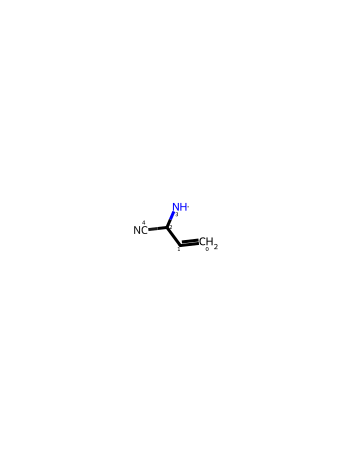 C=CC([NH])C#N